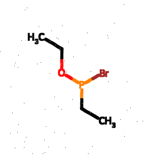 CCOP(Br)CC